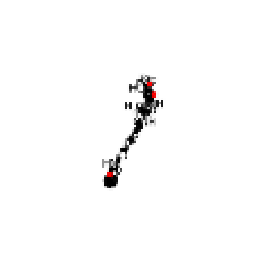 Cc1nc(NC(=O)CCOCCOCCOCCNC(=O)CC23CC4CC(C2)C(C4)C3)sc1S(=O)(=O)Nc1ccc(C(O)(C(F)(F)F)C(F)(F)F)cc1